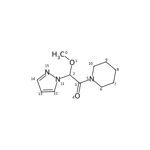 COC(C(=O)N1CCCCC1)n1cccn1